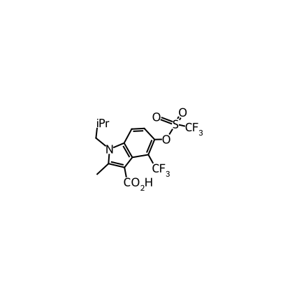 Cc1c(C(=O)O)c2c(C(F)(F)F)c(OS(=O)(=O)C(F)(F)F)ccc2n1CC(C)C